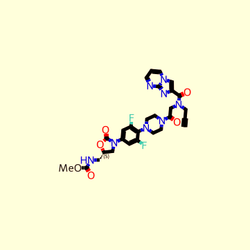 C#CCN(CC(=O)N1CCN(c2c(F)cc(N3C[C@H](CNC(=O)OC)OC3=O)cc2F)CC1)C(=O)c1cn2cccnc2n1